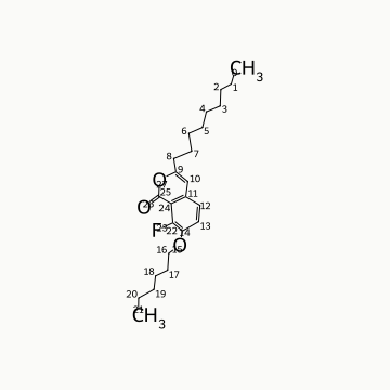 CCCCCCCCCc1cc2ccc(OCCCCCC)c(F)c2c(=O)o1